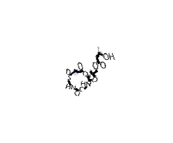 C[C@H](O)CC(=O)OCC(C)(C)[C@H]1OC(=O)/C=C/C(=O)SCCNC(=O)CCNC1=O